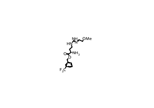 COCCN=C(N)NCC[C@H](N)C(=O)OCc1cccc(C(F)(F)F)c1